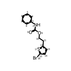 O=C(Nc1ccccc1)OCCc1ccc(Br)s1